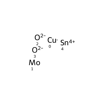 [Cu].[Mo].[O-2].[O-2].[Sn+4]